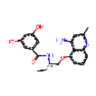 CC[C@@H](COc1cccc2nc(C)cc(N)c12)NC(=O)c1cc(O)cc(O)c1